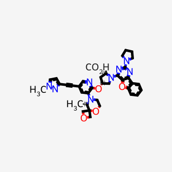 C[C@@H]1N(c2cc(C#Cc3ccn(C)n3)cnc2O[C@H]2C[C@@H](C(=O)O)N(c3nc(N4CCCC4)nc4c3oc3ccccc34)C2)CCOC12COC2